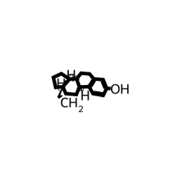 C=C[C@@]12CCC[C@H]1[C@@H]1CCc3cc(O)ccc3[C@H]1CC2